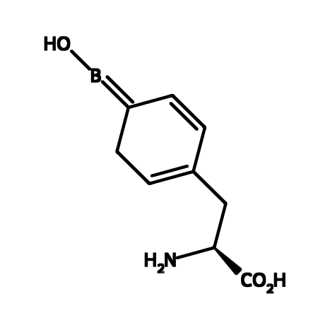 N[C@@H](CC1=CC/C(=B\O)C=C1)C(=O)O